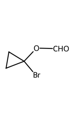 O=COC1(Br)CC1